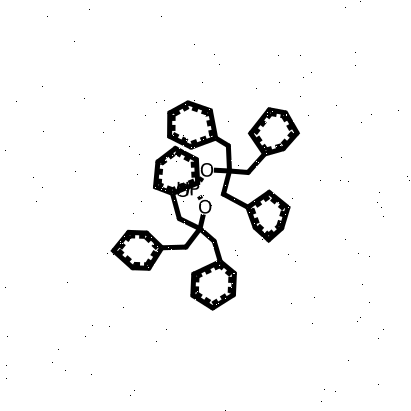 O=[PH](OC(Cc1ccccc1)(Cc1ccccc1)Cc1ccccc1)OC(Cc1ccccc1)(Cc1ccccc1)Cc1ccccc1